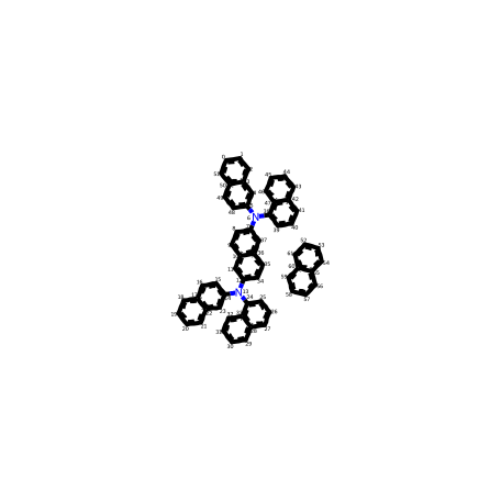 c1ccc2cc(N(c3ccc4cc(N(c5ccc6ccccc6c5)c5cccc6ccccc56)ccc4c3)c3cccc4ccccc34)ccc2c1.c1ccc2ccccc2c1